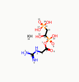 N=C(N)NCC(=O)OP(=O)(O)C(O)CP(=O)(O)O.[KH]